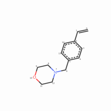 C=Cc1ccc(CN2CCOCC2)cc1